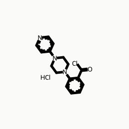 Cl.O=C(Cl)c1ccccc1N1CCN(c2ccncc2)CC1